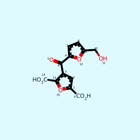 O=C(O)c1cc(C(=O)c2ccc(CO)o2)c(C(=O)O)o1